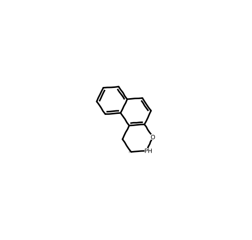 [C]1Cc2c(ccc3ccccc23)OP1